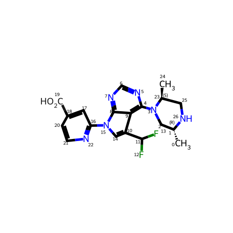 C[C@@H]1CN(c2ncnc3c2c(C(F)F)cn3-c2cc(C(=O)O)ccn2)[C@@H](C)CN1